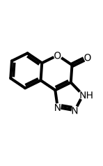 O=c1oc2ccccc2c2nn[nH]c12